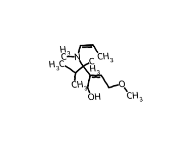 C/C=C\N(C)C(C)(/C(=C/COC)CO)C(C)C